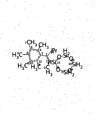 CC(=C(c1c(C)c(C)c(C)c(C)c1C)C(C)C)[SiH]1O[SiH2]O[SiH2]O[SiH2]O1